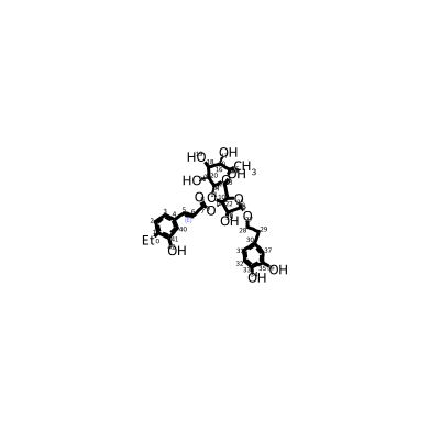 CCc1ccc(/C=C/C(=O)O[C@]2(O[C@@H]3OC(C)[C@H](O)C(O)[C@@H]3O)C(CO)O[C@@H](OCCc3ccc(O)c(O)c3)C2O)cc1O